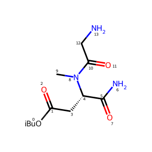 CC(C)COC(=O)C[C@@H](C(N)=O)N(C)C(=O)CN